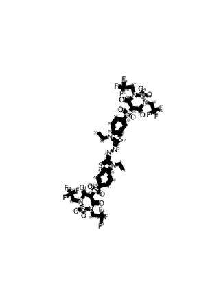 CCn1/c(=N\N=c2\sc3cc(S(=O)(=O)C4C(=O)N(CC(F)(F)F)S(=O)(=O)N(CC(F)(F)F)C4=O)ccc3n2CC)sc2cc(S(=O)(=O)C3C(=O)N(CC(F)(F)F)S(=O)(=O)N(CC(F)(F)F)C3=O)ccc21